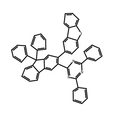 c1ccc(-c2nc(-c3ccccc3)nc(-c3cc4c(cc3-c3ccc5sc6ccccc6c5c3)C(c3ccccc3)(c3ccccc3)c3ccccc3-4)n2)cc1